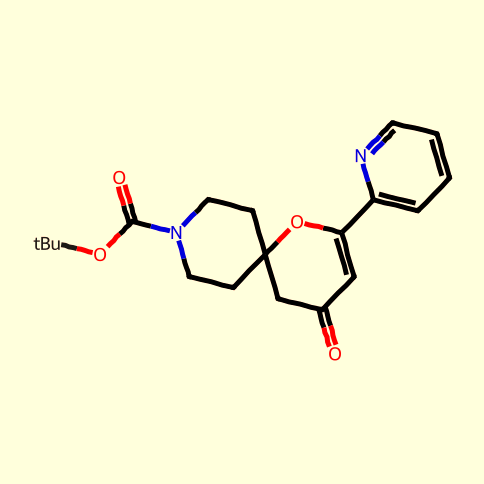 CC(C)(C)OC(=O)N1CCC2(CC1)CC(=O)C=C(c1ccccn1)O2